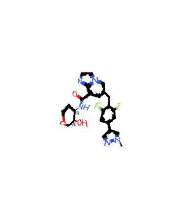 Cn1cc(-c2cc(F)c(Cc3cc(C(=O)N[C@H]4CCOC[C@@H]4O)c4nccn4c3)c(F)c2)cn1